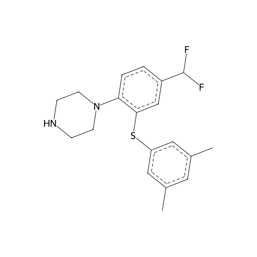 Cc1cc(C)cc(Sc2cc(C(F)F)ccc2N2CCNCC2)c1